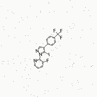 Fc1cccnc1-n1ncc(-c2ccc(C(F)(F)F)cc2)c1I